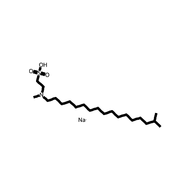 CC(C)CCCCCCCCCCCCCCCN(C)CCS(=O)(=O)O.[Na]